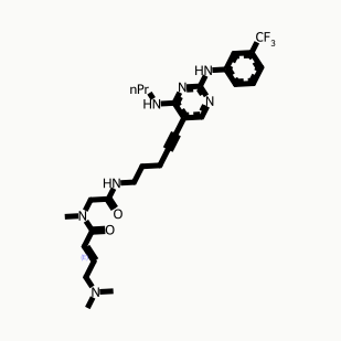 CCCNc1nc(Nc2cccc(C(F)(F)F)c2)ncc1C#CCCCNC(=O)CN(C)C(=O)/C=C/CN(C)C